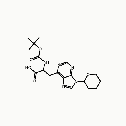 CC(C)(C)OC(=O)NC(Cc1ncnc2c1ncn2C1CCCCO1)C(=O)O